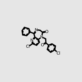 O=C(CN1C(=O)CN=C(c2ccccc2)c2nc(Cl)ccc21)c1ccc(Cl)cc1